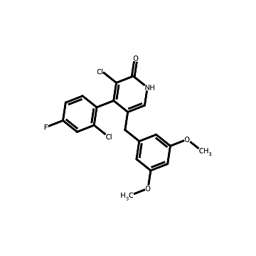 COc1cc(Cc2c[nH]c(=O)c(Cl)c2-c2ccc(F)cc2Cl)cc(OC)c1